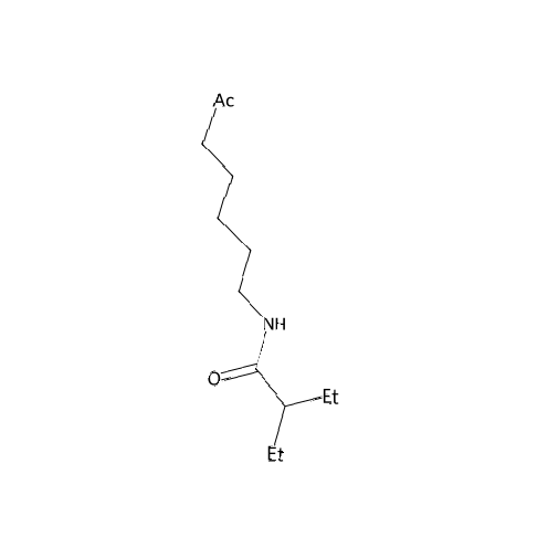 CCC(CC)C(=O)NCCCCCC(C)=O